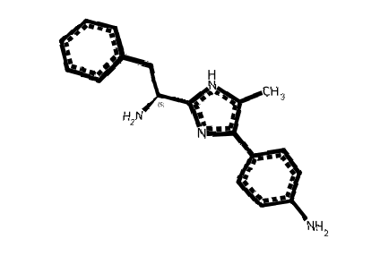 Cc1[nH]c([C@@H](N)Cc2ccccc2)nc1-c1ccc(N)cc1